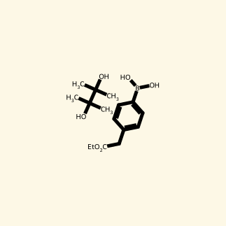 CC(C)(O)C(C)(C)O.CCOC(=O)Cc1ccc(B(O)O)cc1